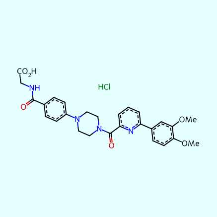 COc1ccc(-c2cccc(C(=O)N3CCN(c4ccc(C(=O)NCC(=O)O)cc4)CC3)n2)cc1OC.Cl